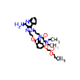 CCCOC(=O)COc1cccc(CN(CCCn2c(CCOC)nc3c(N)nc4ccccc4c32)C(=O)CN(CC)CC)c1